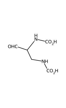 O=CC(CNC(=O)O)NC(=O)O